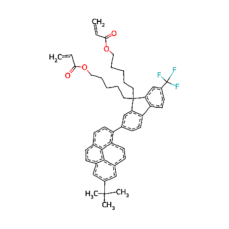 C=CC(=O)OCCCCCC1(CCCCCOC(=O)C=C)c2cc(-c3ccc4ccc5cc(C(C)(C)C)cc6ccc3c4c56)ccc2-c2ccc(C(F)(F)F)cc21